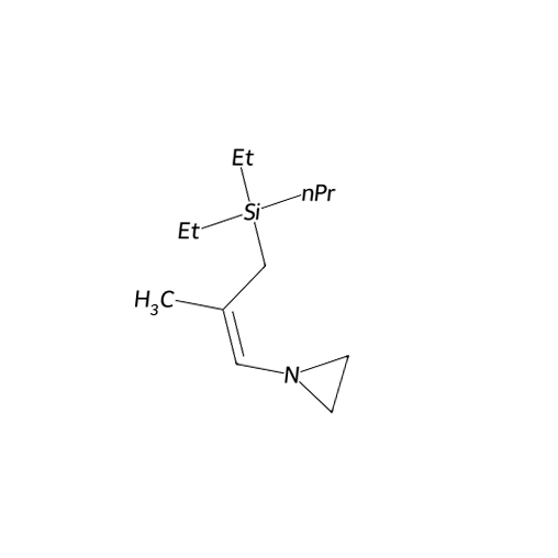 CCC[Si](CC)(CC)CC(C)=CN1CC1